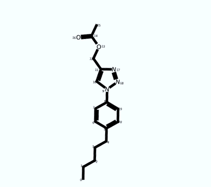 CCCCCc1ccc(-n2cc(COC(C)=O)nn2)cc1